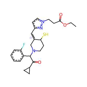 CCOC(=O)CCn1ccc(/C=C2/CN(C(C(=O)C3CC3)c3ccccc3F)CCC2S)n1